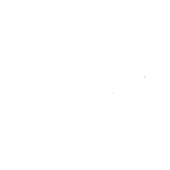 CCCC(SCCCC(F)(F)C(F)F)C(=O)OC(C)(C)C